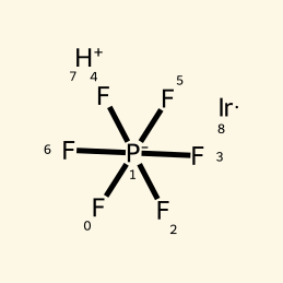 F[P-](F)(F)(F)(F)F.[H+].[Ir]